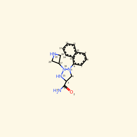 NC(=O)C1CN(c2cccc3ccccc23)N(C2CNC2)N1